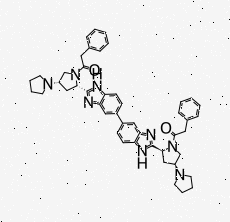 O=C(Cc1ccccc1)N1C[C@@H](N2CCCC2)C[C@H]1c1nc2cc(-c3ccc4[nH]c([C@@H]5C[C@H](N6CCCC6)CN5C(=O)Cc5ccccc5)nc4c3)ccc2[nH]1